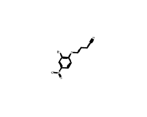 N#CCCCOc1ccc([N+](=O)[O-])cc1Br